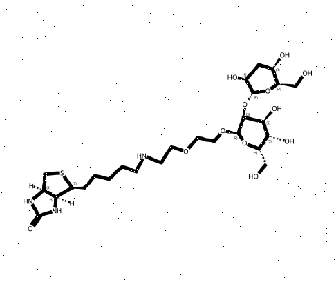 O=C1N[C@H]2[C@H](CS[C@H]2CCCCCNCCOCCO[C@@H]2O[C@@H](CO)[C@@H](O)[C@H](O)[C@@H]2O[C@H]2O[C@H](CO)[C@H](O)[CH][C@@H]2O)N1